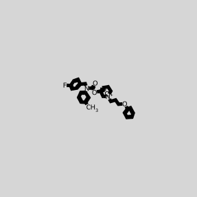 Cc1cccc(N(Cc2ccc(F)cc2)C(=O)OC2C[N+]3(CCCOc4ccccc4)CCC2CC3)c1